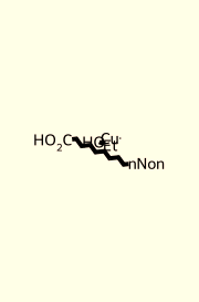 CCCCCCCCCCCCCCCCCC(=O)O.CCO.[Cu]